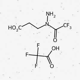 NN(CCC(=O)O)C(=O)C(F)(F)F.O=C(O)C(F)(F)F